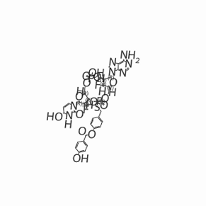 Nc1ncnc2c1ncn2[C@@H]1O[C@@H]2CO[P@@](=O)(SCc3ccc(OC(=O)c4ccc(O)cc4)cc3)O[C@H]3[C@@H](F)[C@H](N4C=CC(O)NC4=O)O[C@@H]3COP(=O)(O)O[C@@H]1[C@@H]2F